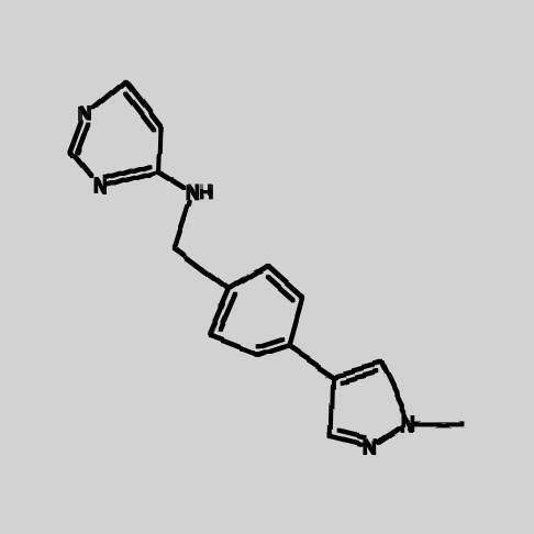 Cn1cc(-c2ccc(CNc3ccncn3)cc2)cn1